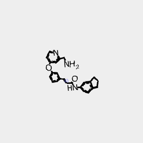 NCc1cc(Oc2cccc(/C=C/C(=O)Nc3ccc4c(c3)CCC4)c2)ccn1